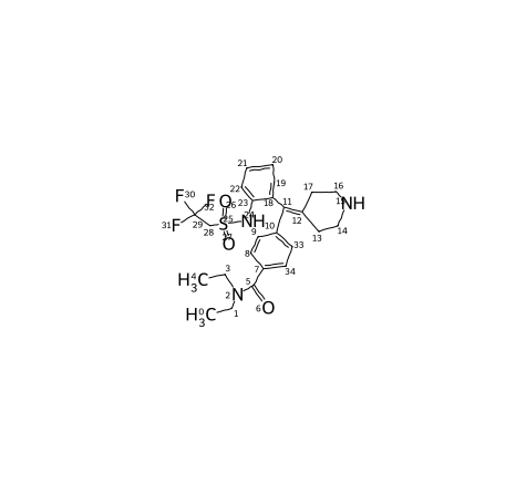 CCN(CC)C(=O)c1ccc(C(=C2CCNCC2)c2ccccc2NS(=O)(=O)CC(F)(F)F)cc1